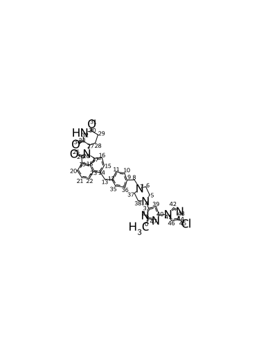 Cc1nc(N2CCN(Cc3ccc(Cc4ccc5c6c(cccc46)C(=O)N5C4CCC(=O)NC4=O)cc3)CC2)cc(-n2cnc(Cl)c2)n1